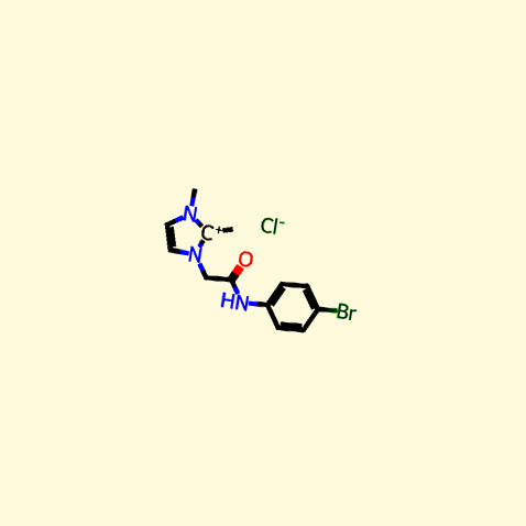 C[c+]1n(C)ccn1CC(=O)Nc1ccc(Br)cc1.[Cl-]